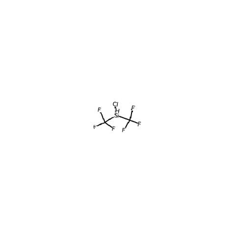 FC(F)(F)[SiH](Cl)C(F)(F)F